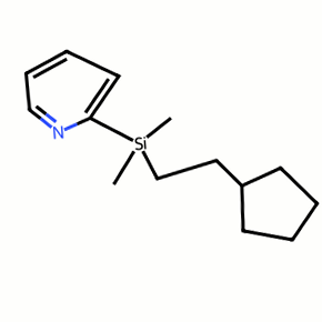 C[Si](C)(CCC1CCCC1)c1ccccn1